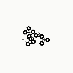 CC1(C)c2ccccc2-c2cccc(N(c3ccc4sc5ccc(N(c6ccccc6)c6ccccc6)cc5c4c3)c3cccc4c3-c3ccccc3C4(c3ccccc3)c3ccccc3)c21